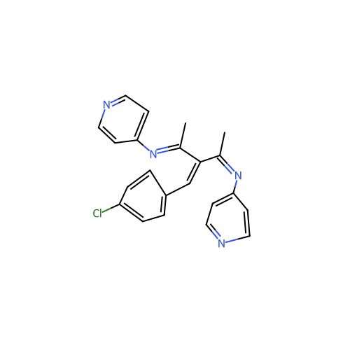 CC(=Nc1ccncc1)C(=Cc1ccc(Cl)cc1)C(C)=Nc1ccncc1